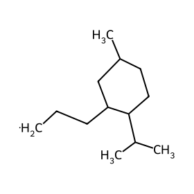 [CH2]CCC1CC(C)CCC1C(C)C